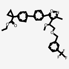 CCOC(=O)C1(c2ccc(-c3ccc(-c4onc(C)c4C(COCc4cccc(C(F)(F)F)c4)OC)cc3)cc2)CC1